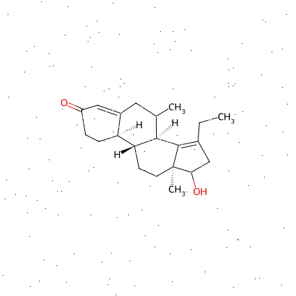 CCC1=C2[C@@H]3C(C)CC4=CC(=O)CC[C@@H]4[C@H]3CC[C@]2(C)C(O)C1